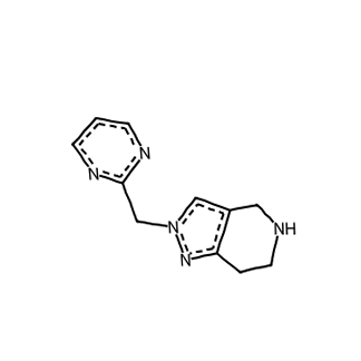 c1cnc(Cn2cc3c(n2)CCNC3)nc1